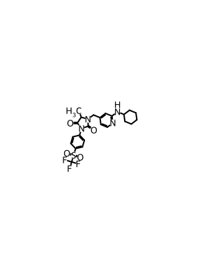 CC1C(=O)N(c2ccc(S(=O)(=O)C(F)(F)F)cc2)C(=O)N1Cc1ccnc(NC2CCCCC2)c1